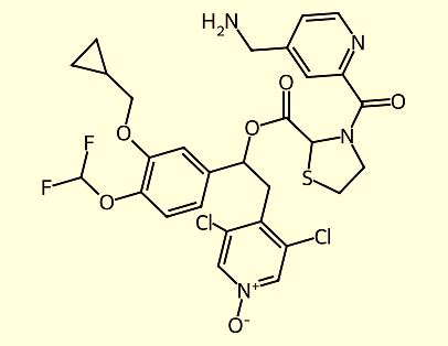 NCc1ccnc(C(=O)N2CCSC2C(=O)OC(Cc2c(Cl)c[n+]([O-])cc2Cl)c2ccc(OC(F)F)c(OCC3CC3)c2)c1